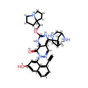 C#Cc1cccc2cc(O)cc(-n3ncc4c(C5=C6CNCC(C5)NC6)nc(OCC56CCCN5CCC6)nc4c3=O)c12